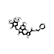 COc1cc(CN2C(=O)/C(=C/c3cc(C(=O)NCCN4CCOCC4)c[nH]3)c3c(Cl)nc(N)nc32)c(Cl)c(OC)c1OC